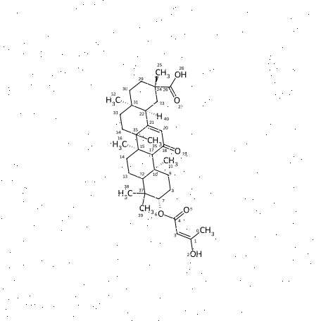 C/C(O)=C\C(=O)O[C@H]1CC[C@@]2(C)C(CC[C@]3(C)C2C(=O)C=C2[C@@H]4C[C@@](C)(C(=O)O)CC[C@]4(C)CCC23C)C1(C)C